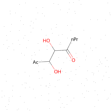 CCCC(=O)C(O)C(O)C(C)=O